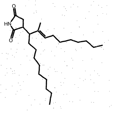 CCCCCCC/C=C(\C)C(CCCCCCCCC)C1CC(=O)NC1=O